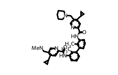 CNCc1cnc(C(=O)Nc2cccc(-c3cccc(NC(=O)c4cc(C5CC5)c(CN5CCCCC5)cn4)c3C)c2C)cc1C1CC1